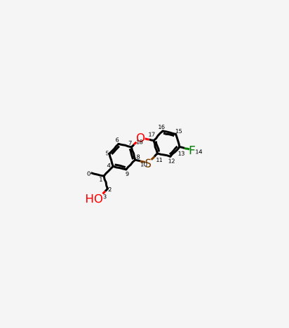 CC(CO)c1ccc2c(c1)Sc1cc(F)ccc1O2